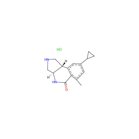 Cc1cc(C2CC2)cc2c1C(=O)N[C@H]1CNC[C@H]21.Cl